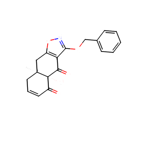 C[C@@]12CC=CC(=O)[C@]1(O)C(=O)c1c(OCc3ccccc3)noc1C2